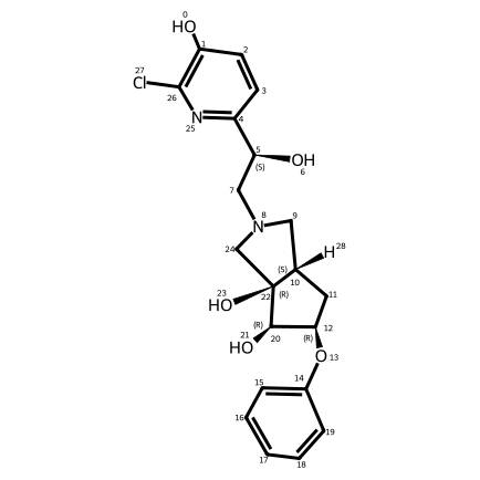 Oc1ccc([C@@H](O)CN2C[C@@H]3C[C@@H](Oc4ccccc4)[C@@H](O)[C@]3(O)C2)nc1Cl